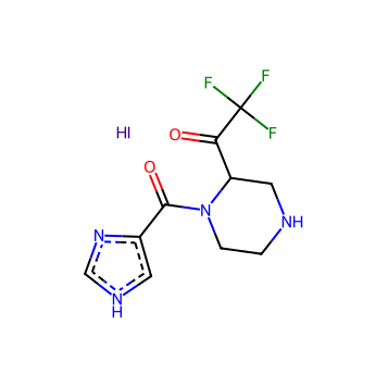 I.O=C(c1c[nH]cn1)N1CCNCC1C(=O)C(F)(F)F